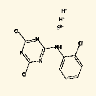 Clc1nc(Cl)nc(Nc2ccccc2Cl)n1.[H+].[H+].[S-2]